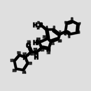 Bc1cc(-c2ccccc2)cc2nc(NC(=O)N3CCCCC3)[nH]c12